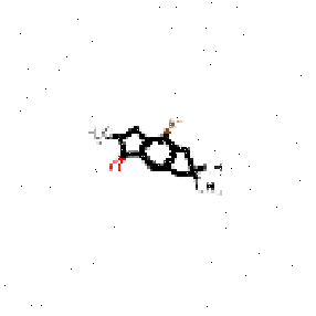 CC1Cc2c(cc3c(c2Br)CC(C)(C)C3)C1=O